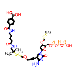 CC(C)(C)SSCO[C@@H]1C[C@H](n2cc(C#CCOCSSC(C)(C)CNC(=O)CCCCNC(=O)c3ccc(B(O)O)cc3)c(N)nc2=O)O[C@@H]1COPOPOPO